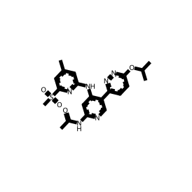 CC(=O)Nc1cc(Nc2cc(C)cc(S(C)(=O)=O)n2)c(-c2ccc(OC(C)C)nn2)cn1